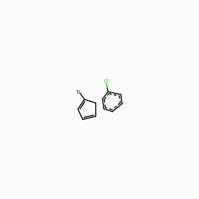 Clc1ccccc1.[Ti][C]1=CC=CC1